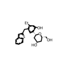 CCc1cc(O)c([C@H]2C[C@@H](O)C[C@@H](CO)O2)cc1Cc1cc2ccccc2s1